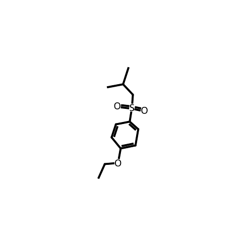 CCOc1ccc(S(=O)(=O)CC(C)C)cc1